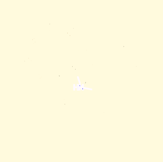 CCCCNC1(c2ccccc2)SSSSSSC1=S